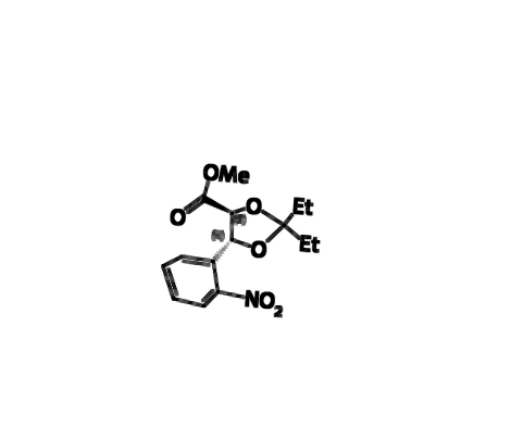 CCC1(CC)O[C@H](C(=O)OC)[C@@H](c2ccccc2[N+](=O)[O-])O1